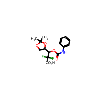 CC1(C)OCC(C(OC(=O)Nc2ccccc2)C(F)(F)C(=O)O)O1